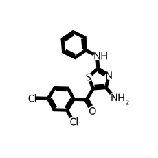 Nc1nc(Nc2ccccc2)sc1C(=O)c1ccc(Cl)cc1Cl